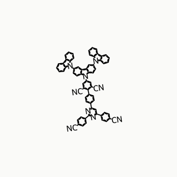 N#Cc1ccc(-c2cc(-c3ccc(-c4c(C#N)cc(-n5c6ccc(-n7c8ccccc8c8ccccc87)cc6c6cc(-n7c8ccccc8c8ccccc87)ccc65)cc4C#N)cc3)nc(-c3ccc(C#N)cc3)n2)cc1